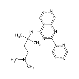 CN(C)CCC(C)(C)Nc1nc(-c2ccncn2)nc2cnccc12